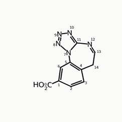 O=C(O)c1ccc2c(c1)-n1nnnc1N=CC2